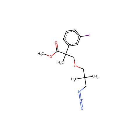 COC(=O)C(C)(COCC(C)(C)CN=[N+]=[N-])c1cccc(I)c1